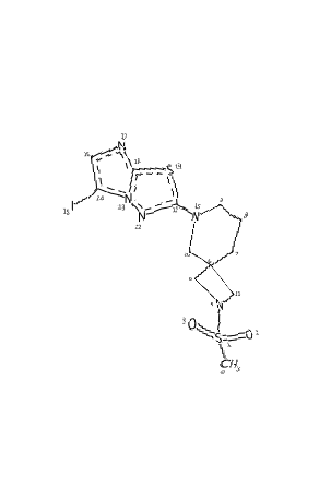 CS(=O)(=O)N1CC2(CCCN(c3nn4c(I)cnc4s3)C2)C1